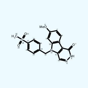 COc1ccc2c3c(=O)[nH]ncc3n(Cc3ccc(S(C)(=O)=O)cc3)c2c1